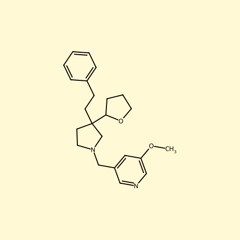 COc1cncc(CN2CCC(CCc3ccccc3)(C3CCCO3)C2)c1